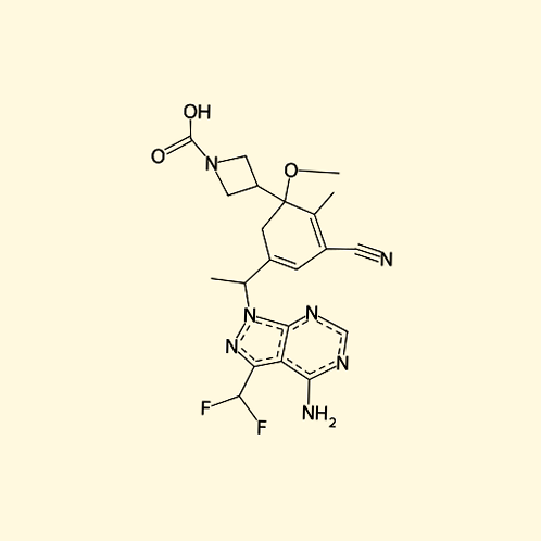 COC1(C2CN(C(=O)O)C2)CC(C(C)n2nc(C(F)F)c3c(N)ncnc32)=CC(C#N)=C1C